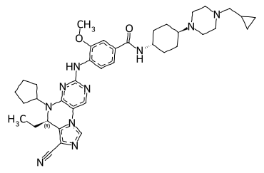 CC[C@@H]1c2c(C#N)ncn2-c2cnc(Nc3ccc(C(=O)N[C@H]4CC[C@H](N5CCN(CC6CC6)CC5)CC4)cc3OC)nc2N1C1CCCC1